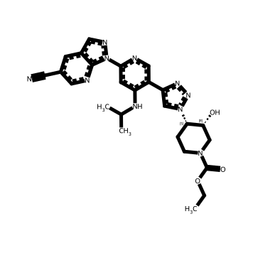 CCOC(=O)N1CC[C@H](n2cc(-c3cnc(-n4ncc5cc(C#N)cnc54)cc3NC(C)C)nn2)[C@H](O)C1